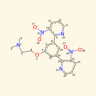 CN(C)CCOc1cc(-c2ncccc2[N+](=O)[O-])cc(-c2ncccc2[N+](=O)[O-])c1